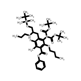 CCCCOc1c(C(=O)Oc2ccccc2)c(C)c(F)c(CC(CO[Si](C)(C)C(C)(C)C)NCCC)c1N(C(=O)OC(C)(C)C)C(=O)OC(C)(C)C